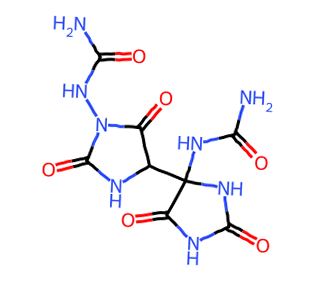 NC(=O)NN1C(=O)NC(C2(NC(N)=O)NC(=O)NC2=O)C1=O